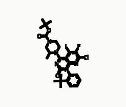 CC1CN(C(=O)OC(C)(C)C)CCN1c1nc(=O)n(-c2ccccc2C(C)(C)C)c2nc(Cl)c(F)c(I)c12